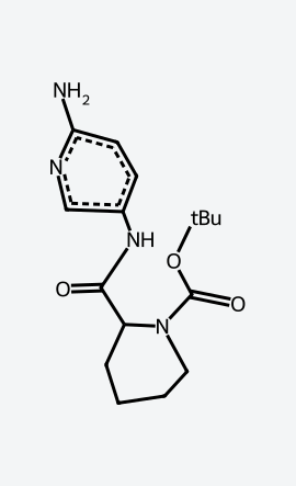 CC(C)(C)OC(=O)N1CCCCC1C(=O)Nc1ccc(N)nc1